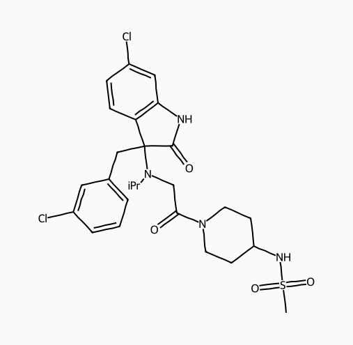 CC(C)N(CC(=O)N1CCC(NS(C)(=O)=O)CC1)C1(Cc2cccc(Cl)c2)C(=O)Nc2cc(Cl)ccc21